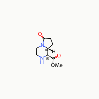 COC(=O)[C@H]1NCCN2C(=O)CC[C@H]12